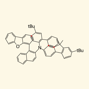 CC(C)(C)c1ccc(N(c2ccc3c(c2)C(C)(C)c2cc(C(C)(C)C)ccc2-3)c2ccc3ccccc3c2-c2cccc3c2oc2ccccc23)c(-c2ccccc2)c1